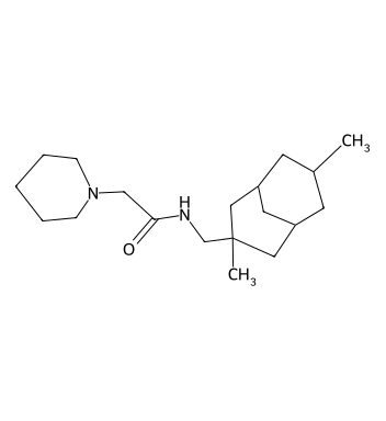 CC1CC2CC(C1)CC(C)(CNC(=O)CN1CCCCC1)C2